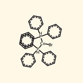 [Br][Co]([PH](c1ccccc1)(c1ccccc1)c1ccccc1)[PH](c1ccccc1)(c1ccccc1)c1ccccc1